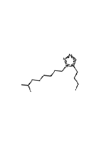 CCCCc1cnnn1CCCCCCC(C)C